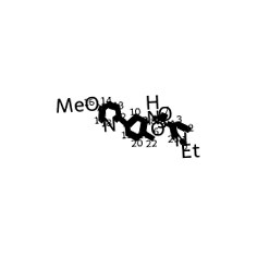 CCn1ccc(S(=O)(=O)Nc2cc(-c3ccc(OC)cn3)ccc2C)c1